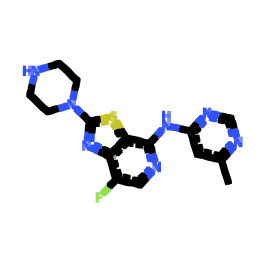 Cc1cc(Nc2ncc(F)c3nc(N4CCNCC4)sc23)ncn1